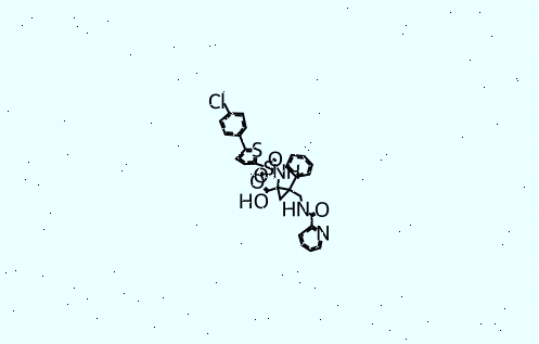 O=C(NCC1(c2ccccc2)CC1(NS(=O)(=O)c1ccc(-c2ccc(Cl)cc2)s1)C(=O)O)c1ccccn1